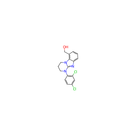 OCc1cccc2nc3n(c12)CCCN3c1ccc(Cl)cc1Cl